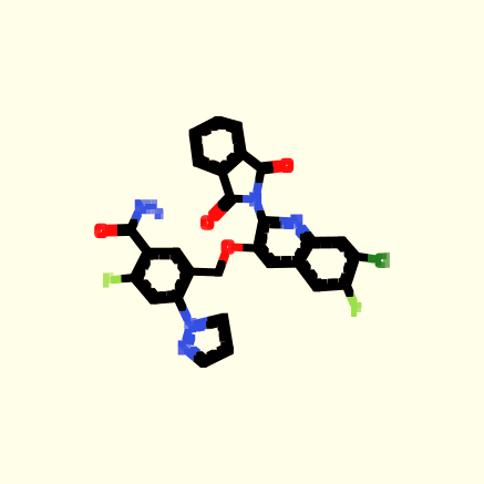 NC(=O)c1cc(COc2cc3cc(F)c(Cl)cc3nc2N2C(=O)c3ccccc3C2=O)c(-n2cccn2)cc1F